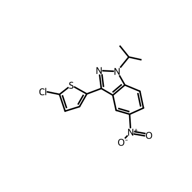 CC(C)n1nc(-c2ccc(Cl)s2)c2cc([N+](=O)[O-])ccc21